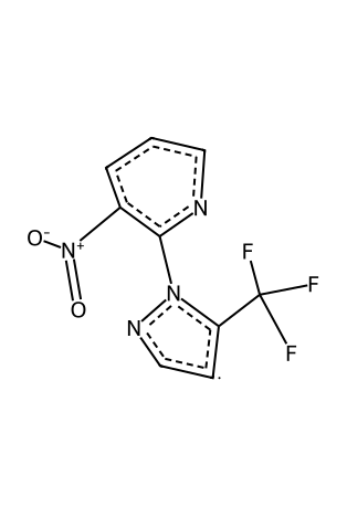 O=[N+]([O-])c1cccnc1-n1nc[c]c1C(F)(F)F